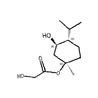 CC(C)[C@@H]1CC[C@@](C)(OC(=O)CO)C[C@H]1O